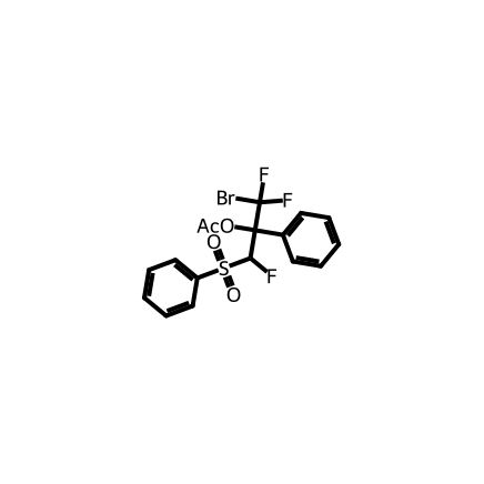 CC(=O)OC(c1ccccc1)(C(F)S(=O)(=O)c1ccccc1)C(F)(F)Br